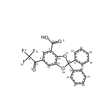 O=C(O)c1cc(C(=O)C(F)(F)F)cc2c1OC(c1ccccc1)(c1ccccc1)O2